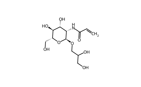 C=CC(=O)N[C@@H]1[C@@H](OCC(O)CO)O[C@H](CO)[C@@H](O)[C@@H]1O